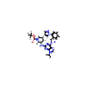 CC(C)n1cnc2c(NCc3ccccc3-n3cccn3)nc(N[C@H]3CCCN(C(=O)OC(C)(C)C)C3)nc21